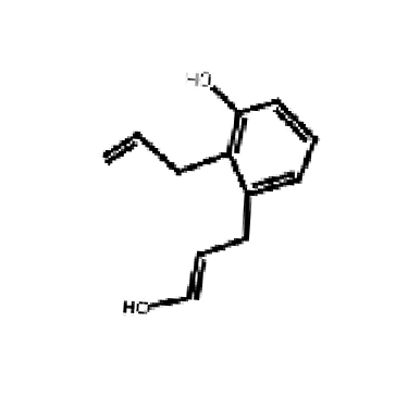 C=CCc1c(O)cccc1CC=CO